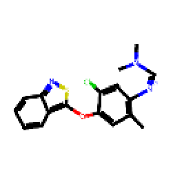 Cc1cc(Oc2snc3ccccc23)c(Cl)cc1/N=C\N(C)C